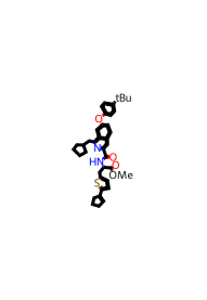 COC(=O)C(Cc1ccc(C2=CCCC2)s1)NC(=O)c1cc2ccc(Oc3ccc(C(C)(C)C)cc3)cc2c(CC2CCCC2)n1